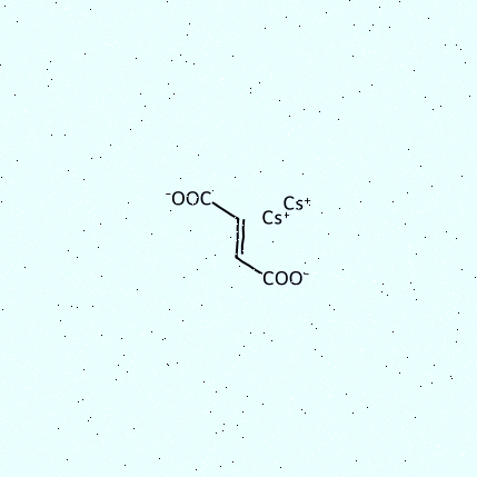 O=C([O-])C=CC(=O)[O-].[Cs+].[Cs+]